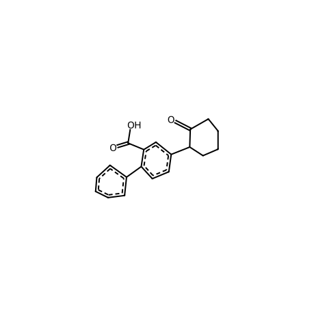 O=C(O)c1cc(C2CCCCC2=O)ccc1-c1ccccc1